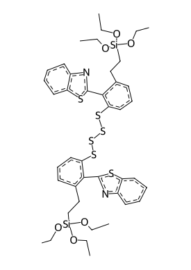 CCO[Si](CCc1cccc(SSSSc2cccc(CC[Si](OCC)(OCC)OCC)c2-c2nc3ccccc3s2)c1-c1nc2ccccc2s1)(OCC)OCC